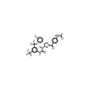 CC(=O)Nc1ccc(C(=O)N2C[C@@H](N(C)C(=O)N(C)c3cc(C(F)(F)F)cc(C(F)(F)F)c3)[C@H](c3ccc(F)cc3)C2)cc1